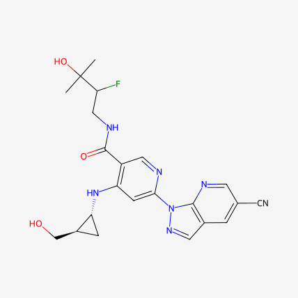 CC(C)(O)C(F)CNC(=O)c1cnc(-n2ncc3cc(C#N)cnc32)cc1N[C@@H]1C[C@H]1CO